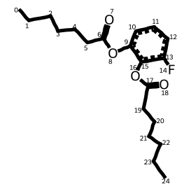 CCCCCCC(=O)Oc1cccc(F)c1OC(=O)CCCCCC